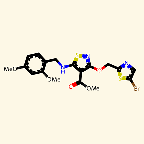 COC(=O)c1c(OCc2ncc(Br)s2)nsc1NCc1ccc(OC)cc1OC